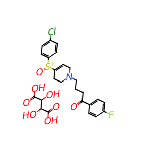 O=C(CCCN1CC=C([S+]([O-])c2ccc(Cl)cc2)CC1)c1ccc(F)cc1.O=C(O)C(O)C(O)C(=O)O